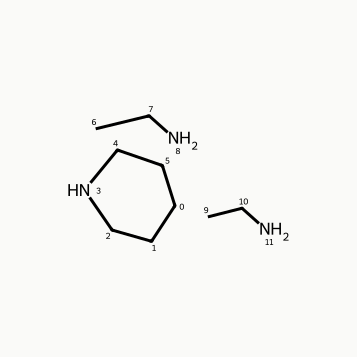 C1CCNCC1.CCN.CCN